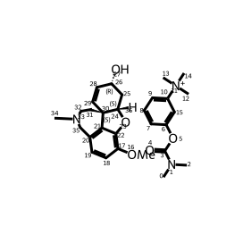 CN(C)C(=O)Oc1cccc([N+](C)(C)C)c1.COc1ccc2c3c1O[C@H]1C[C@@H](O)C=C[C@@]31CCN(C)C2